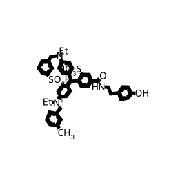 CCN(Cc1cccc(S(=O)(=O)O)c1)c1ccc(C(=C2C=CC(=[N+](CC)Cc3cccc(C)c3)C=C2)c2ccc(C(=O)NCCc3ccc(O)cc3)cc2S(=O)(=O)O)cc1